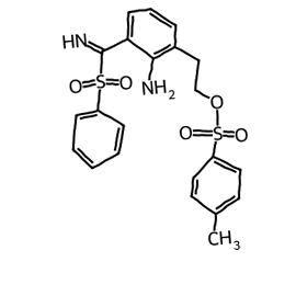 Cc1ccc(S(=O)(=O)OCCc2cccc(C(=N)S(=O)(=O)c3ccccc3)c2N)cc1